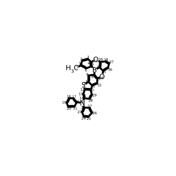 Cc1ccc2c(c1)B1c3cc4sc5cc(N(c6ccccc6)c6ccccc6)ccc5c4cc3Oc3cccc(c31)O2